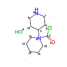 Cl.O=C(Cl)[N+]1(C2CCNCC2)CCCCC1